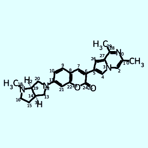 Cc1cn2cc(-c3cc4ccc(N5C[C@H]6CCN(C)[C@H]6C5)cc4oc3=O)cc2c(C)n1